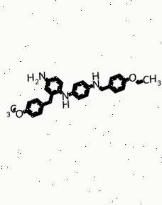 CCOc1ccc(CNc2ccc(Nc3ccc(N)cc3Cc3ccc(OC)cc3)cc2)cc1